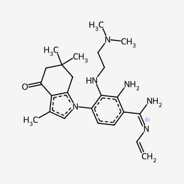 C=C/N=C(/N)c1ccc(-n2cc(C)c3c2CC(C)(C)CC3=O)c(NCCN(C)C)c1N